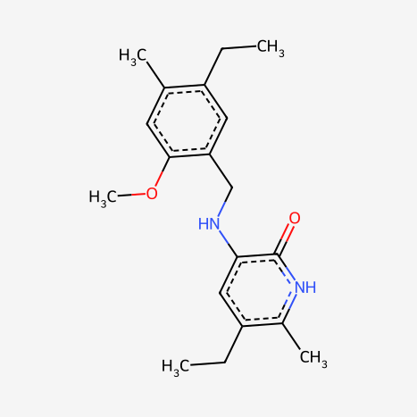 CCc1cc(CNc2cc(CC)c(C)[nH]c2=O)c(OC)cc1C